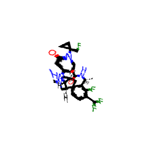 C[C@@H](NC(=O)c1cn(C2(CF)CC2)c(=O)cc1N[C@@H]1[C@@H]2CC[C@H]1CN(C)C2)c1cccc(C(F)F)c1F